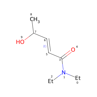 CCN(CC)C(=O)/C=C/C(C)O